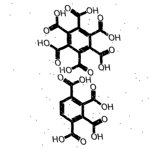 O=C(O)c1c(C(=O)O)c(C(=O)O)c(C(=O)O)c(C(=O)O)c1C(=O)O.O=C(O)c1ccc(C(=O)O)c(C(=O)O)c1C(=O)O